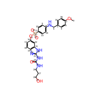 COc1ccc(CNc2ccc(S(=O)(=O)Oc3ccc4nc(NC(=O)NCCCO)[nH]c4c3)cc2)cc1